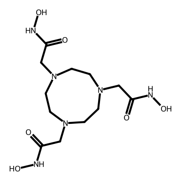 O=C(CN1CCN(CC(=O)NO)CCN(CC(=O)NO)CC1)NO